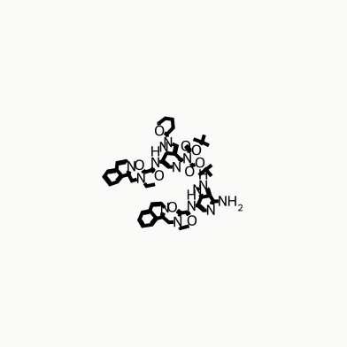 CCN(Cc1nccc2ccccc12)C(=O)C(=O)Nc1cnc(N(C(=O)OC(C)(C)C)C(=O)OC(C)(C)C)c2cn(C3CCCCO3)nc12.CCN(Cc1nccc2ccccc12)C(=O)C(=O)Nc1cnc(N)c2c[nH]nc12